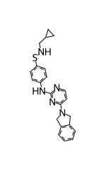 c1ccc2c(c1)CN(c1ccnc(Nc3ccc(SNCC4CC4)cc3)n1)C2